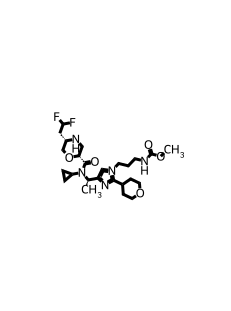 COC(=O)NCCCn1cc([C@H](C)N(C(=O)[C@H]2CN[C@@H](CC(F)F)CO2)C2CC2)nc1C1CCOCC1